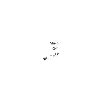 [Li+].[Mn+2].[Ni+2].[O-2].[Ti+4]